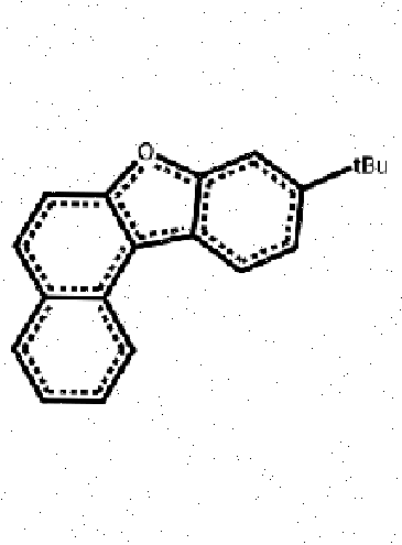 CC(C)(C)c1ccc2c(c1)oc1ccc3ccccc3c12